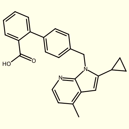 Cc1ccnc2c1cc(C1CC1)n2Cc1ccc(-c2ccccc2C(=O)O)cc1